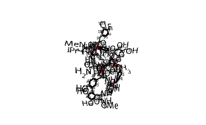 CN[C@H](CC(C)C)C(=O)N[C@H]1C(=O)N[C@@H](CC(N)=O)C(=O)N[C@H]2C(=O)N[C@H]3C(=O)N[C@H](C(=O)N[C@@H](C(=O)NOC)c4cc(O)cc(O)c4-c4cc3ccc4O)[C@H](O)c3ccc(c(Cl)c3)Oc3cc2cc(c3O[C@@H]2O[C@H](CO)[C@@H](O)[C@H](O)[C@H]2O[C@H]2C[C@](C)(NCCn3ccc(NC(=O)Cc4ccc(F)c(Cl)c4)nc3=O)[C@H](O)[C@H](C)O2)Oc2ccc(cc2Cl)[C@H]1O